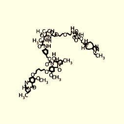 CCn1nnc2c1CC[C@@H]1[C@H](CC2)[C@@H]1COC(=O)NS(=O)(=O)NCCOCCOCC(=O)N[C@H](C(=O)N[C@@H](C)C(=O)Nc1ccc(COC(=O)N2c3cc(OCCCCCOc4cc5c(cc4OC)C(=O)N4C=C(C)C[C@H]4C=N5)c(OC)cc3C(=O)N3C=C(C)C[C@H]3[C@@H]2O)cc1)C(C)C